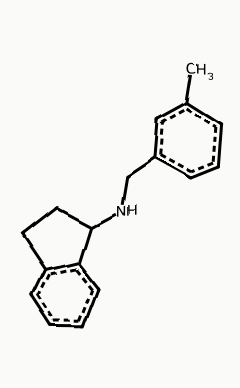 Cc1cccc(CNC2CCc3ccccc32)c1